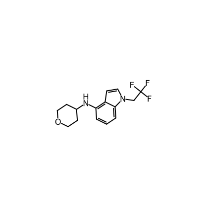 FC(F)(F)Cn1ccc2c(NC3CCOCC3)cccc21